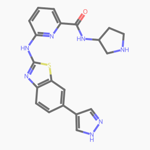 O=C(NC1CCNC1)c1cccc(Nc2nc3ccc(-c4cn[nH]c4)cc3s2)n1